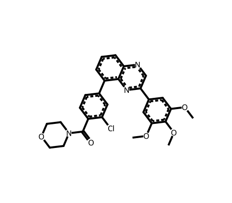 COc1cc(-c2cnc3cccc(-c4ccc(C(=O)N5CCOCC5)c(Cl)c4)c3n2)cc(OC)c1OC